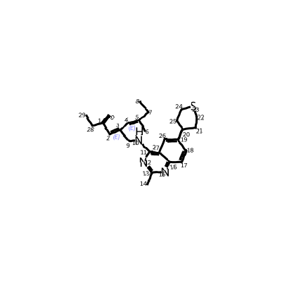 C=C(/C=C(\C=C(/C)CC)CNc1nc(C)nc2ccc(C3CCSCC3)cc12)CC